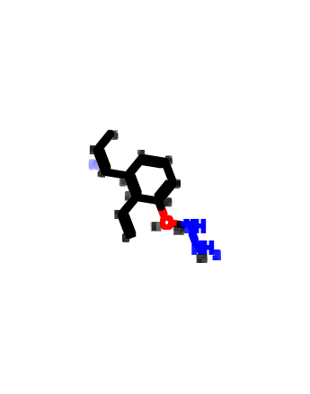 C=Cc1c(/C=C\C)cccc1ONN